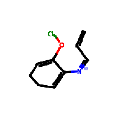 C=C/C=N\C1=CCCC=C1OCl